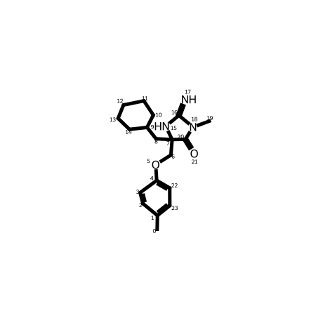 Cc1ccc(OCC2(CC3CCCCC3)NC(=N)N(C)C2=O)cc1